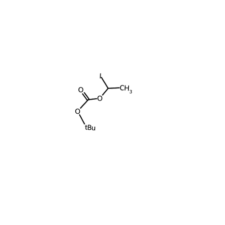 CC(I)OC(=O)OC(C)(C)C